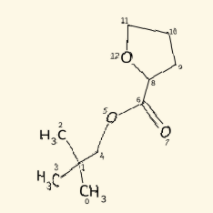 CC(C)(C)COC(=O)C1CCCO1